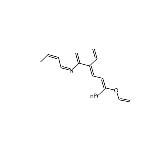 C=CO/C(=C/C=C(\C=C)C(=C)/N=C\C=C/C)CCC